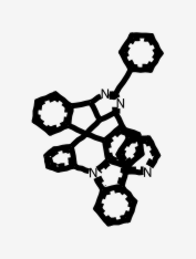 c1ccc(C2=NC3c4ccccc4C4(c5ccccc5-n5c6ccccc6c6cccc4c65)C3C(c3ccncc3)=N2)cc1